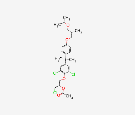 CC(=O)O[C@@H](CCl)COc1c(Cl)cc(C(C)(C)c2ccc(OC[C@@H](C)COC(C)C)cc2)cc1Cl